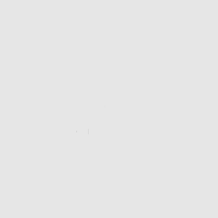 [CH2]CC[CH]OC(O)CCC